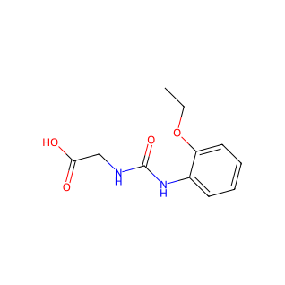 CCOc1ccccc1NC(=O)NCC(=O)O